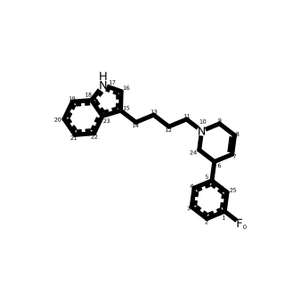 Fc1cccc(C2C=CCN(CCCCc3c[nH]c4ccccc34)C2)c1